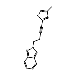 Cc1csc(C#CCCn2nc3ccccc3n2)n1